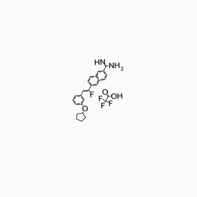 N=C(N)c1ccc2cc(/C(F)=C/c3cccc(OC4CCCC4)c3)ccc2c1.O=C(O)C(F)(F)F